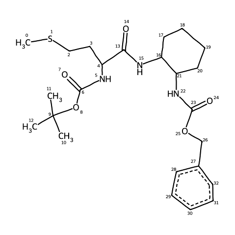 CSCCC(NC(=O)OC(C)(C)C)C(=O)NC1CCCCC1NC(=O)OCc1ccccc1